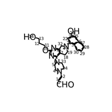 O=CC=CN1CCN(c2nc(OCCCO)nc3c2CCN(c2cc(O)cc4ccccc24)C3)CC1